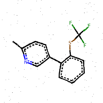 Cc1ccc(-c2ccc[c]c2SC(F)(F)F)cn1